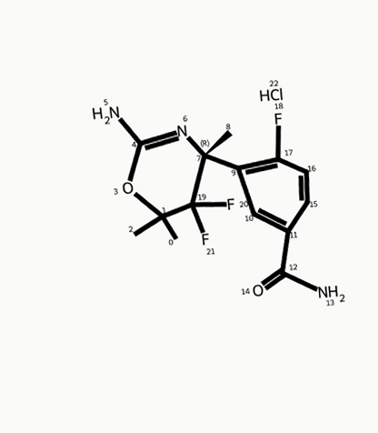 CC1(C)OC(N)=N[C@](C)(c2cc(C(N)=O)ccc2F)C1(F)F.Cl